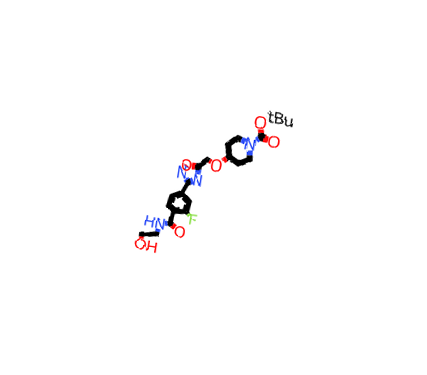 CC(C)(C)OC(=O)N1CCC(OCc2nc(-c3ccc(C(=O)NCCO)c(F)c3)no2)CC1